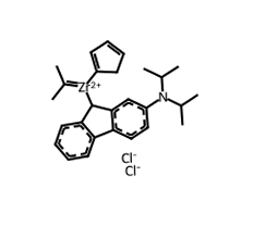 C[C](C)=[Zr+2]([C]1=CC=CC1)[CH]1c2ccccc2-c2ccc(N(C(C)C)C(C)C)cc21.[Cl-].[Cl-]